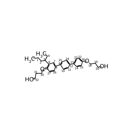 CCCC(CC)c1cc(-c2ccc(-c3ccc(OCCCO)cc3)cc2)ccc1OCCCO